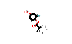 C=C(C)C(=O)Oc1ccc(O)cc1F